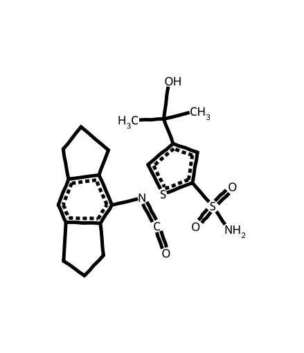 CC(C)(O)c1csc(S(N)(=O)=O)c1.O=C=Nc1c2c(cc3c1CCC3)CCC2